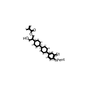 C=C(C)C(=O)OCC(CO)C1CCC(C2CCC(c3ccc(CCCCC)c(CC)c3)CC2)CC1